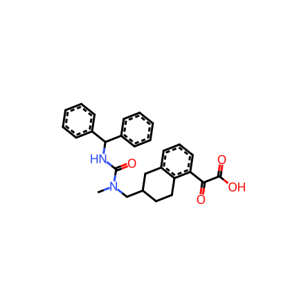 CN(CC1CCc2c(cccc2C(=O)C(=O)O)C1)C(=O)NC(c1ccccc1)c1ccccc1